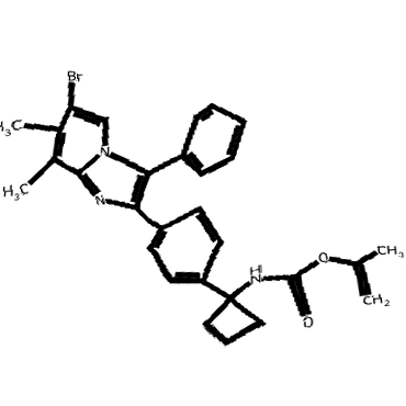 C=C(C)OC(=O)NC1(c2ccc(-c3nc4c(C)c(C)c(Br)cn4c3-c3ccccc3)cc2)CCC1